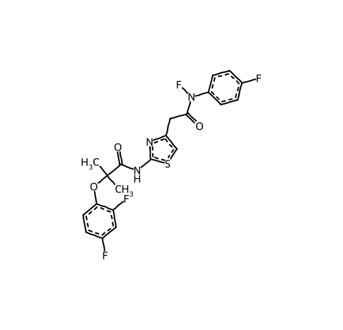 CC(C)(Oc1ccc(F)cc1F)C(=O)Nc1nc(CC(=O)N(F)c2ccc(F)cc2)cs1